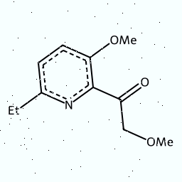 CCc1ccc(OC)c(C(=O)COC)n1